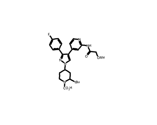 COCC(=O)Nc1cc(-c2cn(C3CCN(C(=O)O)C(C(C)(C)C)C3)nc2-c2ccc(F)cc2)ccn1